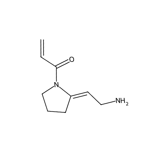 C=CC(=O)N1CCCC1=CCN